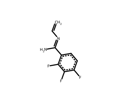 C=C/N=C(\N)c1ccc(F)c(F)c1F